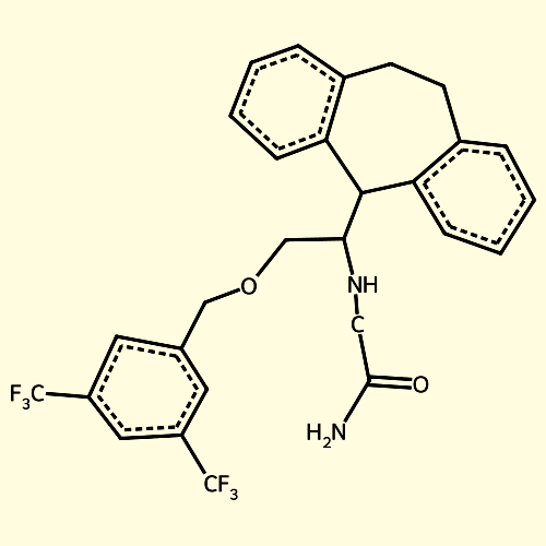 NC(=O)CNC(COCc1cc(C(F)(F)F)cc(C(F)(F)F)c1)C1c2ccccc2CCc2ccccc21